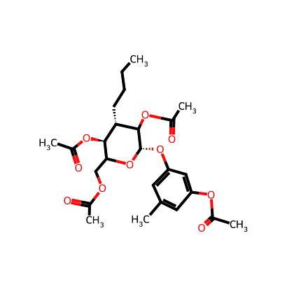 CCCC[C@@H]1C(OC(C)=O)[C@H](Oc2cc(C)cc(OC(C)=O)c2)OC(COC(C)=O)[C@H]1OC(C)=O